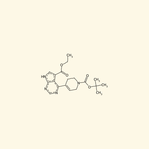 CCOC(=O)c1c[nH]c2ncnc(C3=CCN(C(=O)OC(C)(C)C)CC3)c12